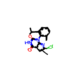 Cc1cc2c(=O)[nH]c(=O)n(-c3c(C)cccc3C(C)C)c2nc1Cl